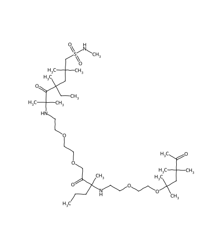 CCCC(C)(NCCOCCOC(C)(C)CC(C)(C)C(C)=O)C(=O)COCCOCCNC(C)(C)C(=O)C(C)(CC)CC(C)(C)CS(=O)(=O)NC